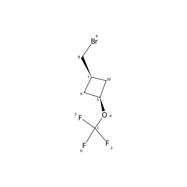 FC(F)(F)O[C@H]1C[C@@H](CBr)C1